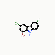 Clc1ccc2[nH]c3c(Br)cc(Cl)cc3c2c1